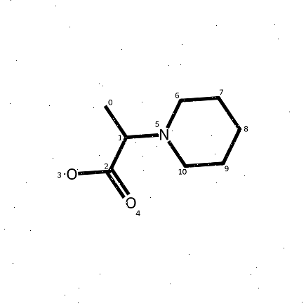 CC(C([O])=O)N1CCCCC1